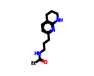 [CH2]CC(=O)NCCCc1ccc2c(n1)NCCC2